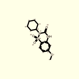 COc1ccc2c(c1)NC(=O)N(C1CCCCC1)S2(=O)=O